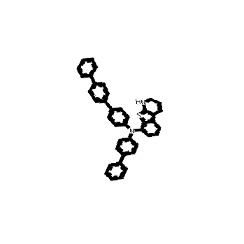 C1=Cc2c(sc3c(N(c4ccc(-c5ccccc5)cc4)c4ccc(-c5ccc(-c6ccccc6)cc5)cc4)cccc23)NC1